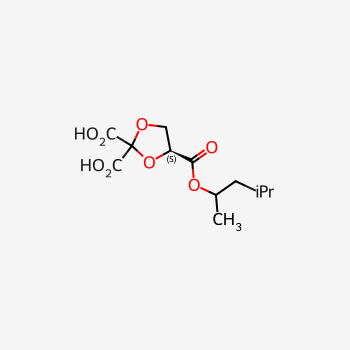 CC(C)CC(C)OC(=O)[C@@H]1COC(C(=O)O)(C(=O)O)O1